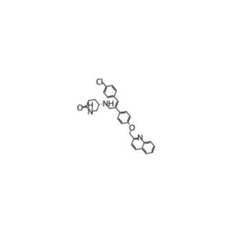 O=C1CC[C@H](NCC(=Cc2ccc(Cl)cc2)c2ccc(OCc3ccc4ccccc4n3)cc2)CN1